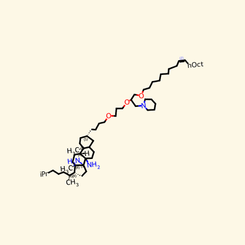 CCCCCCCC/C=C\CCCCCCCCOCC(CN1CCCCC1)OCCCOCCCC[C@H]1CC[C@@]2(C)C(CCC3(N)[C@@H]2CC[C@]2(C)[C@@H]([C@H](C)CCCC(C)C)CC[C@@]32N)C1